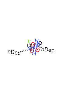 CCCCCCCCCCCCCCCCN1C(=O)/C(=c2\[nH]c(=O)/c(=C(\CCCCCCCCCCCC)c3ccccn3)[nH]c2=O)c2cc(F)ccc21